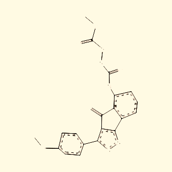 COC(=O)NNC(=O)Nc1cccc2c1C(=O)c1c(-c3ccc(OC)cc3)n[nH]c1-2